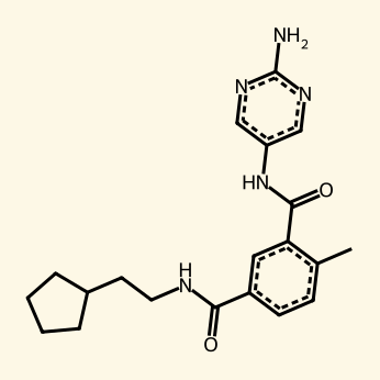 Cc1ccc(C(=O)NCCC2CCCC2)cc1C(=O)Nc1cnc(N)nc1